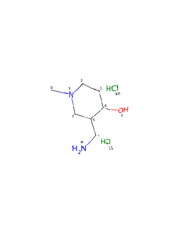 CN1CCC(O)C(CN)C1.Cl.Cl